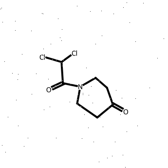 O=C1CCN(C(=O)C(Cl)Cl)CC1